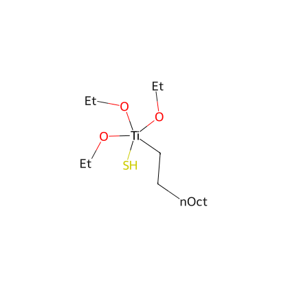 CCCCCCCCC[CH2][Ti]([SH])([O]CC)([O]CC)[O]CC